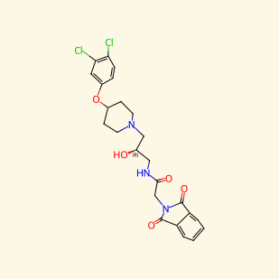 O=C(CN1C(=O)c2ccccc2C1=O)NC[C@@H](O)CN1CCC(Oc2ccc(Cl)c(Cl)c2)CC1